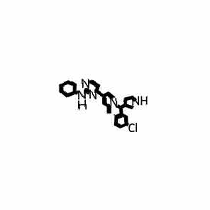 C=C1C=C(c2ccnc(NC3CCCCC3)n2)C=CN1C(c1cccc(Cl)c1)C1CCNC1